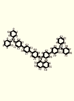 c1ccc(N(c2ccccc2)c2ccc(-c3ccc(-c4ccc(N(c5ccc(-c6ccc(N(c7ccccc7)c7ccccc7)cc6)cc5)c5cccc6ccccc56)cc4)cc3)cc2)cc1